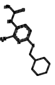 CCCC(=O)Nc1ccc(SCC2CCCCC2)nc1N